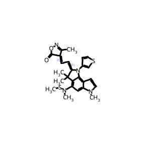 CSN(C)c1cc2c(ccn2C)c2c1C(C)(C)/C(=C\C=C1\C(=O)ON=C1C)N2c1ccsc1